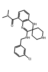 CN(C)C(=O)c1cccc2c1N=C(NCc1cccc(Cl)c1)C1(CCNCC1)N2